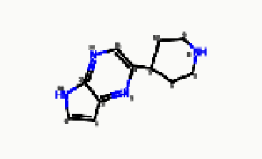 c1cc2nc(C3CCNCC3)cnc2[nH]1